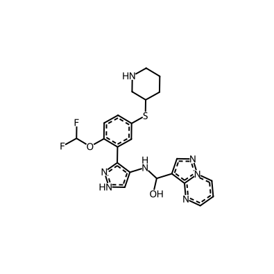 OC(Nc1c[nH]nc1-c1cc(SC2CCCNC2)ccc1OC(F)F)c1cnn2cccnc12